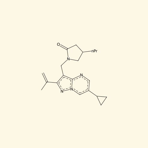 C=C(C)c1nn2cc(C3CC3)cnc2c1CN1CC(CCC)CC1=O